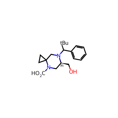 CC(C)(C)C(c1ccccc1)N1CC2(CC2)N(C(=O)O)C[C@@H]1CO